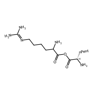 CCCCC[C@H](N)C(=O)OC(=O)C(N)CCCCN=C(N)N